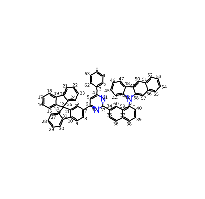 c1ccc(-c2cc(-c3ccc4c(c3)C3(c5ccccc5-c5ccccc53)c3ccccc3-4)nc(-c3ccc4cccc(-n5c6ccccc6c6cc7ccccc7cc65)c4c3)n2)cc1